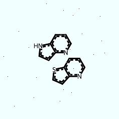 c1cnc2cc[nH]c2c1.c1cnc2ccsc2c1